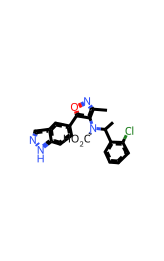 Cc1noc(-c2ccc3[nH]ncc3c2)c1N(C(=O)O)C(C)c1ccccc1Cl